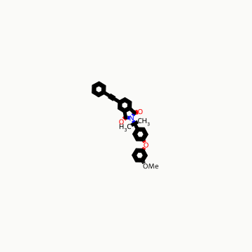 COc1cccc(Oc2ccc(C(C)(C)N3C(=O)c4ccc(C#Cc5ccccc5)cc4C3=O)cc2)c1